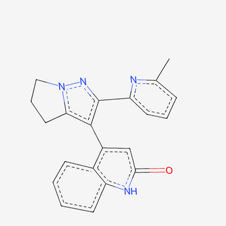 Cc1cccc(-c2nn3c(c2-c2cc(=O)[nH]c4ccccc24)CCC3)n1